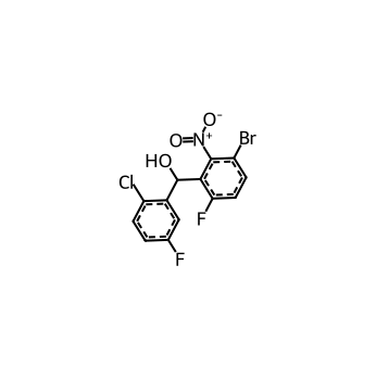 O=[N+]([O-])c1c(Br)ccc(F)c1C(O)c1cc(F)ccc1Cl